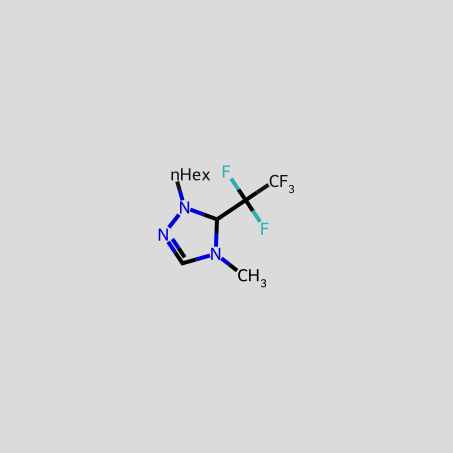 CCCCCCN1N=CN(C)C1C(F)(F)C(F)(F)F